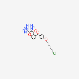 Nc1c(-c2nnn[nH]2)oc2cccc(C(=O)c3ccc(OCCCCCCCCl)cc3)c2c1=O